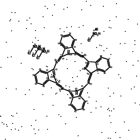 O=S(=O)(O)Cl.O=S(=O)(O)Cl.O=S(=O)(O)Cl.O=S(=O)(O)Cl.[Al].c1ccc2c(c1)-c1nc-2nc2[nH]c(nc3nc(nc4[nH]c(n1)c1ccccc41)-c1ccccc1-3)c1ccccc21